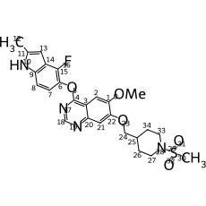 COc1cc2c(Oc3ccc4[nH]c(C)cc4c3F)ncnc2cc1OCC1CCN(S(C)(=O)=O)CC1